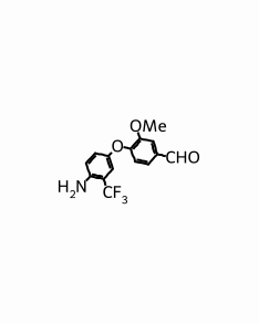 COc1cc(C=O)ccc1Oc1ccc(N)c(C(F)(F)F)c1